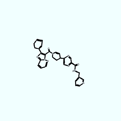 O=C(NCc1cccnc1)c1cnc(C2C=CN(C(=O)c3c(C4=CC=CCC4)nc4cccnn34)CC2)cn1